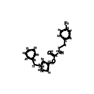 O=C(NCCc1ccc(F)cc1)Oc1cnn(Cc2ccccc2)c1